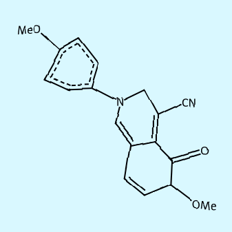 COc1ccc(N2C=C3C=CC(OC)C(=O)C3=C(C#N)C2)cc1